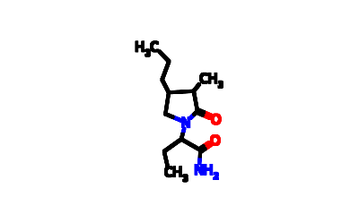 CCCC1CN(C(CC)C(N)=O)C(=O)C1C